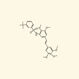 COc1cc(C=Cc2cc(OC)c(OC)c(OC)c2)cc(NS(=O)(=O)c2cccc(C(C)(C)C)c2)c1OC